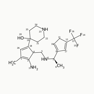 CC1=C(N)C(CN[C@H](C)C2=CCC(C(F)(F)F)=C2)C(C2(O)CCNCC2)=C1